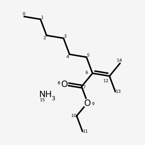 CCCCCCC(C(=O)OCC)=C(C)C.N